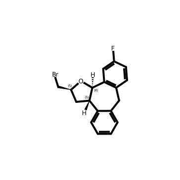 Fc1ccc2c(c1)[C@@H]1O[C@H](CBr)C[C@H]1c1ccccc1C2